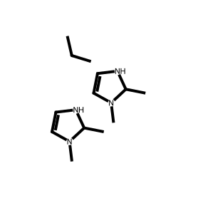 CC1NC=CN1C.CC1NC=CN1C.CCC